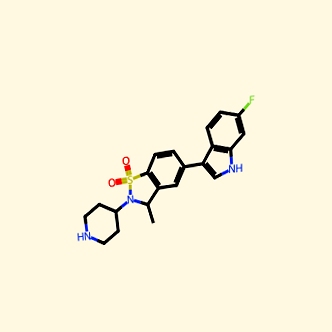 CC1c2cc(-c3c[nH]c4cc(F)ccc34)ccc2S(=O)(=O)N1C1CCNCC1